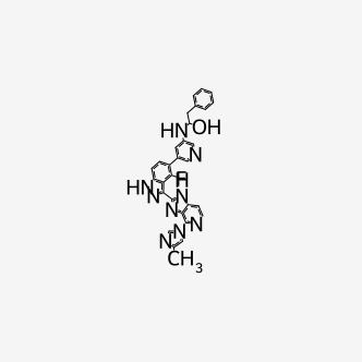 Cc1cn(-c2nccc3[nH]c(-c4n[nH]c5ccc(-c6cncc(NC(O)Cc7ccccc7)c6)c(F)c45)nc23)cn1